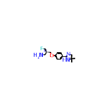 CC1(C)CN=C(c2ccc(OC/C(=C/F)CN)cc2)N1